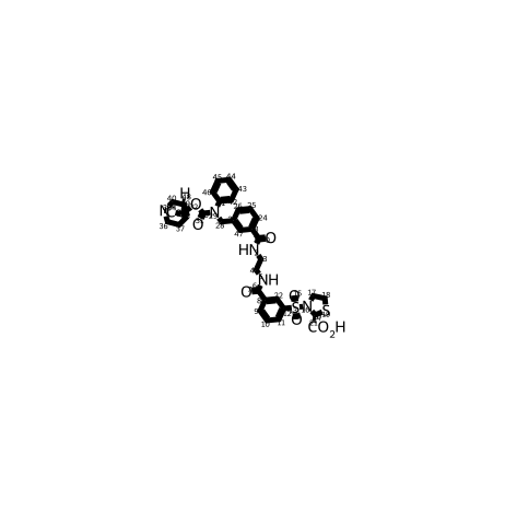 O=C(NCCNC(=O)c1cccc(S(=O)(=O)N2CCS[C@H]2C(=O)O)c1)c1cccc(CN(C(=O)O[C@H]2CN3CCC2CC3)c2ccccc2)c1